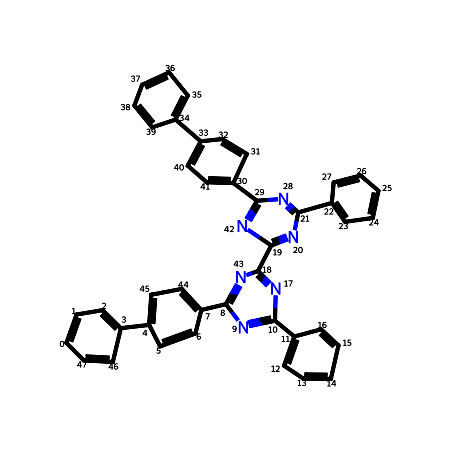 c1ccc(-c2ccc(-c3nc(-c4ccccc4)nc(-c4nc(-c5ccccc5)nc(-c5ccc(-c6ccccc6)cc5)n4)n3)cc2)cc1